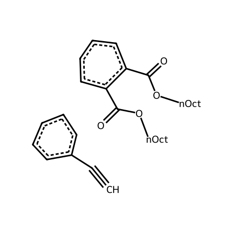 C#Cc1ccccc1.CCCCCCCCOC(=O)c1ccccc1C(=O)OCCCCCCCC